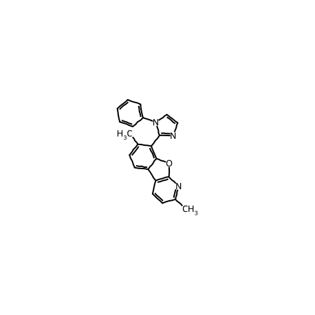 Cc1ccc2c(n1)oc1c(-c3nccn3-c3ccccc3)c(C)ccc12